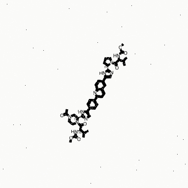 COC(=O)NC(C(=O)N1CCC[C@H]1c1ncc(-c2ccc3nc(-c4ccc(-c5cnc([C@@H]6CN(C(C)=O)CCN6C(=O)[C@@H](NC(=O)OC)C(C)C)[nH]5)cc4)ccc3c2)[nH]1)C(C)C